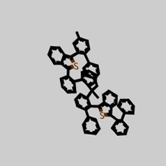 Cc1ccc(-c2ccc(CC(C)(C)c3cccc(-c4ccccc4)c3-c3sc(-c4ccccc4-c4ccccc4)c4ccccc34)cc2)c(-c2sc(-c3ccccc3-c3ccccc3)c3ccccc23)c1